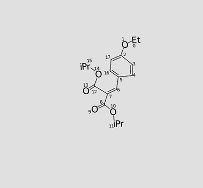 CCOc1ccc(C=C(C(=O)OC(C)C)C(=O)OC(C)C)cc1